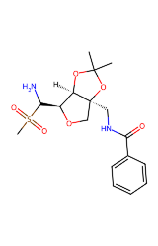 CC1(C)O[C@@H]2[C@H](C(N)S(C)(=O)=O)OC[C@]2(CNC(=O)c2ccccc2)O1